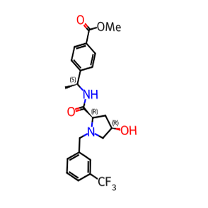 COC(=O)c1ccc([C@H](C)NC(=O)[C@H]2C[C@@H](O)CN2Cc2cccc(C(F)(F)F)c2)cc1